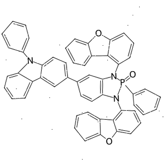 O=P1(c2ccccc2)N(c2cccc3oc4ccccc4c23)c2ccc(-c3ccc4c(c3)c3ccccc3n4-c3ccccc3)cc2N1c1cccc2oc3ccccc3c12